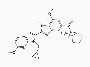 COc1ccc2cc(-c3nc4cc(C(=O)N5CC6CCC5C6N)cc(OC)c4n3C)n(CC3CC3)c2n1